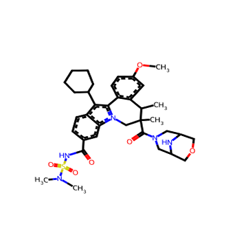 COc1ccc2c(c1)C(C)C(C)(C(=O)N1CC3COCC(C1)N3)Cn1c-2c(C2CCCCC2)c2ccc(C(=O)NS(=O)(=O)N(C)C)cc21